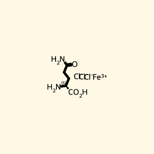 NC(=O)CC[C@H](N)C(=O)O.[Cl-].[Cl-].[Cl-].[Fe+3]